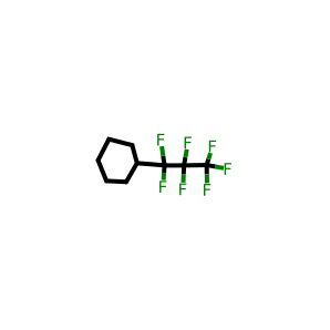 FC(F)(F)C(F)(F)C(F)(F)C1CCCCC1